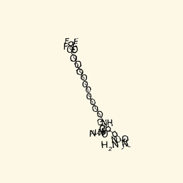 CCCN(CCC)C(=O)C1=Cc2ccc(-c3ccc(CNC(=O)CCOCCOCCOCCOCCOCCOCCOCCOCCOCCOCCC(=O)Oc4c(F)c(F)cc(F)c4F)c(S(=O)(=O)N4CC(CN(C)C)C4)c3)cc2N=C(N)C1